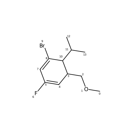 COCC1C=C(F)C=C(Br)C1C(C)C